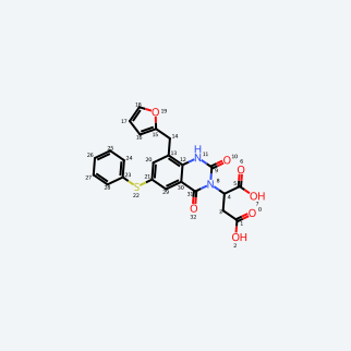 O=C(O)CC(C(=O)O)n1c(=O)[nH]c2c(Cc3ccco3)cc(Sc3ccccc3)cc2c1=O